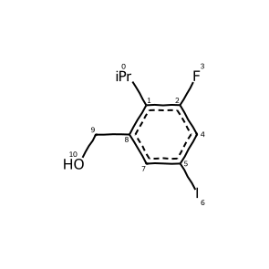 CC(C)c1c(F)cc(I)cc1CO